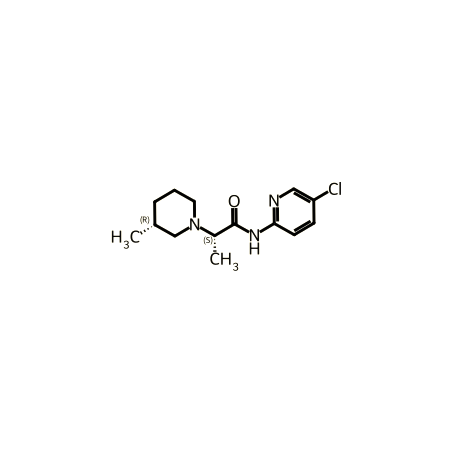 C[C@@H]1CCCN([C@@H](C)C(=O)Nc2ccc(Cl)cn2)C1